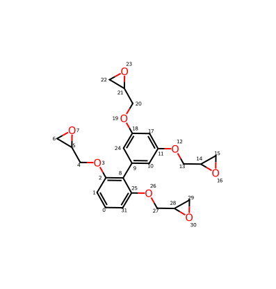 c1cc(OCC2CO2)c(-c2cc(OCC3CO3)cc(OCC3CO3)c2)c(OCC2CO2)c1